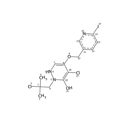 CC(C)(Cl)CN1NC=C(OCc2ccc(I)nc2)C(Cl)=C1O